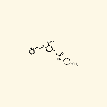 COc1cc(CCC(=O)N[C@H]2CC[C@H](C)CC2)ccc1OCCn1cccn1